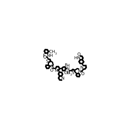 Cc1cc(-c2ccc(C(=O)N3CCc4cc(C(=O)Nc5c(C)cccc5F)sc4-c4ccccc43)nc2-c2ccc3ncccc3c2)cc(F)c1NC(=O)c1cc2c(s1)-c1ccccc1N(C(=O)c1cccc(-c3ccc4[nH]c(=O)ccc4c3)n1)CC2